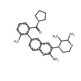 Cc1cccc(C(=O)N2CCCC2)c1-c1ccc2nc(N)c(N3CCOC(C)C3C)cc2c1